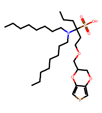 CCCCCCCCN(CCCCCCCC)C(CCC)(CCOCC1COc2cscc2O1)S(=O)(=O)O